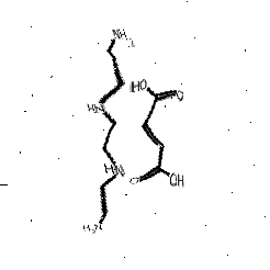 NCCNCCNCCN.O=C(O)C=CC(=O)O